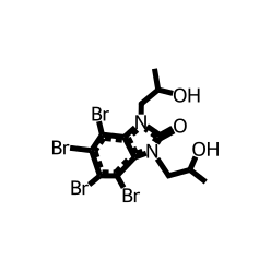 CC(O)Cn1c(=O)n(CC(C)O)c2c(Br)c(Br)c(Br)c(Br)c21